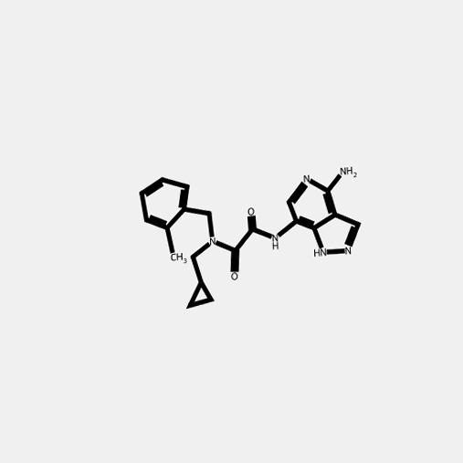 Cc1ccccc1CN(CC1CC1)C(=O)C(=O)Nc1cnc(N)c2cn[nH]c12